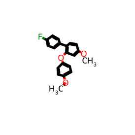 COc1ccc(Oc2cc(OC)ccc2-c2ccc(F)cc2)cc1